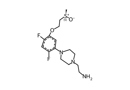 C[S@@+]([O-])CCOc1cc(N2CCN(CCN)CC2)c(F)cc1F